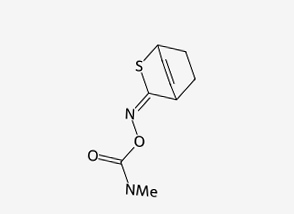 CNC(=O)O/N=C1/SC2C=CC1CC2